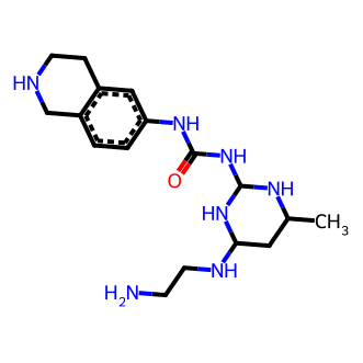 CC1CC(NCCN)NC(NC(=O)Nc2ccc3c(c2)CCNC3)N1